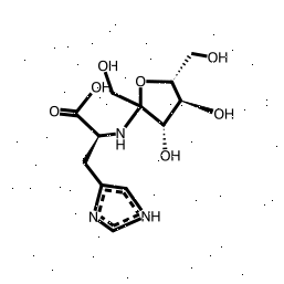 O=C(O)[C@H](Cc1c[nH]cn1)NC1(CO)O[C@H](CO)[C@@H](O)[C@@H]1O